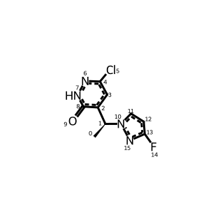 C[C@@H](c1cc(Cl)n[nH]c1=O)n1ccc(F)n1